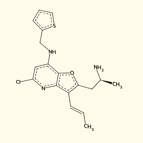 C/C=C/c1c(C[C@H](C)N)oc2c(NCc3cccs3)cc(Cl)nc12